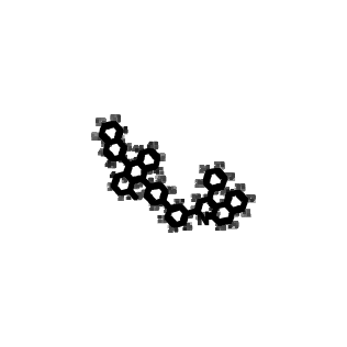 CC1CC=Cc2c1c(-c1ccc(-c3cccc(-c4cc(-c5ccccc5)c5c(ccc6ccccc65)n4)c3)cc1)c1ccccc1c2-c1ccc2ccccc2c1